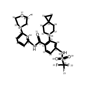 C[C@@H]1CN(c2cccc(NC(=O)c3ccc(NS(=O)(=O)C(F)(F)F)cc3N3CCC4(CC3)CC4)n2)CCO1